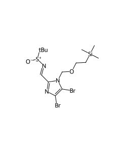 CC(C)(C)[S+]([O-])/N=C/c1nc(Br)c(Br)n1COCC[Si](C)(C)C